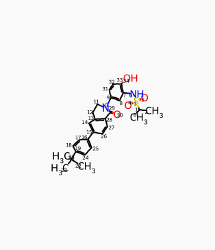 CC(C)S(=O)(=O)Nc1cc(N2CCc3cc(-c4ccc(C(C)(C)C)cc4)ccc3C2=O)ccc1O